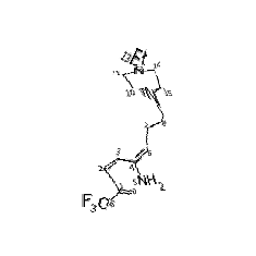 C=C(/C=C\C(N)=C/CCN1CCN(CC)CC1)C(F)(F)F